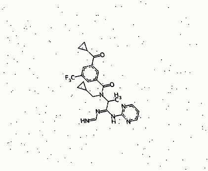 CC(/C(=N/C=N)Nc1ncccn1)N(CC1CC1)C(=O)c1cc(C(=O)C2CC2)cc(C(F)(F)F)c1